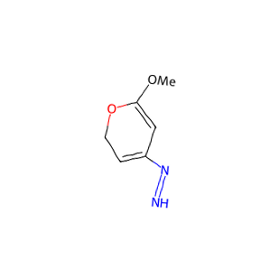 COC1=CC(N=N)=CCO1